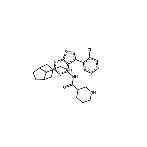 O=C(Nc1nc(N2C3CCC2CC(CO)C3)nc2scc(-c3ccccc3Cl)c12)C1CCCNC1